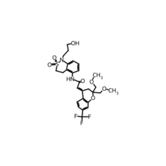 COCC1(COC)CC(=CC(=O)Nc2cccc3c2CCS(=O)(=O)N3CCCO)c2ccc(C(F)(F)F)cc2O1